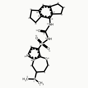 CN(C)C1CCOc2c(S(=O)(=O)NC(=O)Nc3c4c(cc5c3CCC5)CCC4)cnn2C1